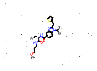 CCC(CC)n1c(Cc2cccs2)nc2cc(C(=O)N[C@@H](CC(C)C)C(=O)NCCCOC(C)C)ccc21